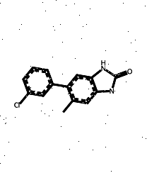 Cc1cc2c(cc1-c1cccc(Cl)c1)NC(=O)[N]2